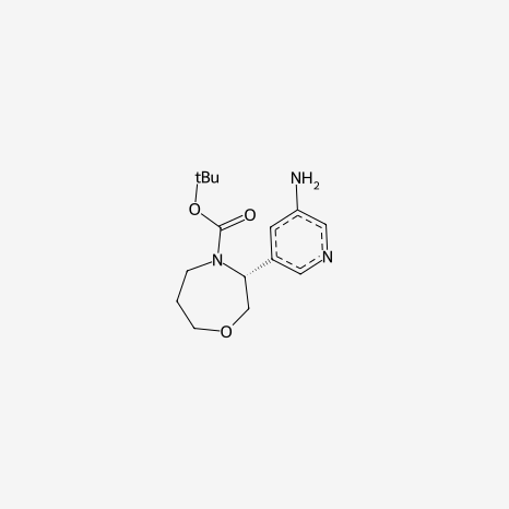 CC(C)(C)OC(=O)N1CCCOC[C@H]1c1cncc(N)c1